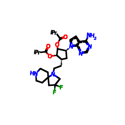 CC(C)C(=O)O[C@@H]1[C@@H](CCN2CC(F)(F)CC23CCNCC3)C[C@@H](n2ccc3c(N)ncnc32)[C@@H]1OC(=O)C(C)C